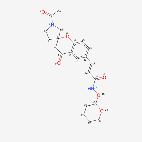 CC(=O)N1CCC2(CC(=O)c3cc(C=CC(=O)NOC4CCCCO4)ccc3O2)C1